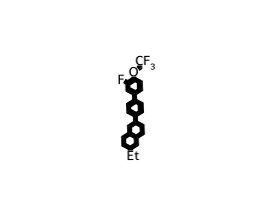 CCC1CCC2CC(c3ccc(-c4ccc(OCC(F)(F)F)c(F)c4)cc3)CCC2C1